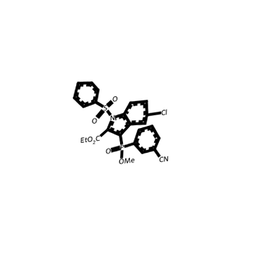 CCOC(=O)c1c(P(=O)(OC)c2cccc(C#N)c2)c2cc(Cl)ccc2n1S(=O)(=O)c1ccccc1